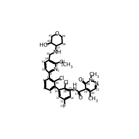 COc1nc(-c2cccc(-c3cc(F)cc(NC(=O)c4c(C)cnn(C)c4=O)c3Cl)c2Cl)ccc1CNC1CCOCC1O